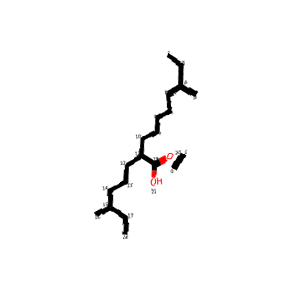 C=C.CCC(C)CCCCCC(CCCC(C)CC)C(=O)O